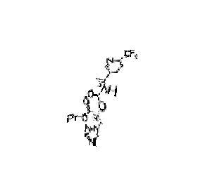 CC(C)OC(=O)[C@@H](Cn1cncn1)OC(=O)N[C@@H](C)c1ccc(C(F)(F)F)nc1